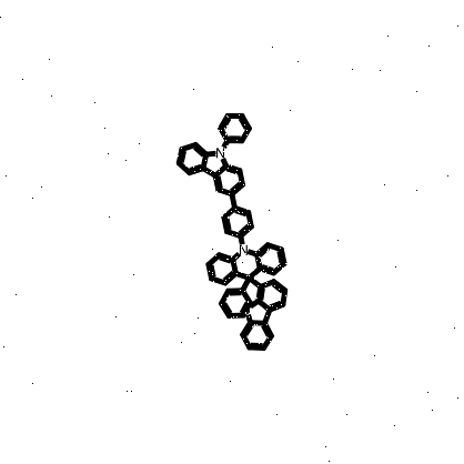 c1ccc(-n2c3ccccc3c3cc(-c4ccc(N5c6ccccc6C(c6ccccc6)(c6cccc7c6sc6ccccc67)c6ccccc65)cc4)ccc32)cc1